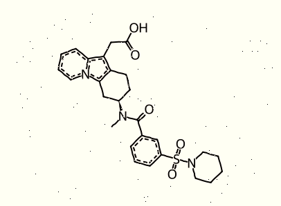 CN(C(=O)c1cccc(S(=O)(=O)N2CCCCC2)c1)[C@@H]1CCc2c(CC(=O)O)c3ccccn3c2C1